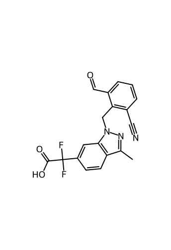 Cc1nn(Cc2c(C#N)cccc2C=O)c2cc(C(F)(F)C(=O)O)ccc12